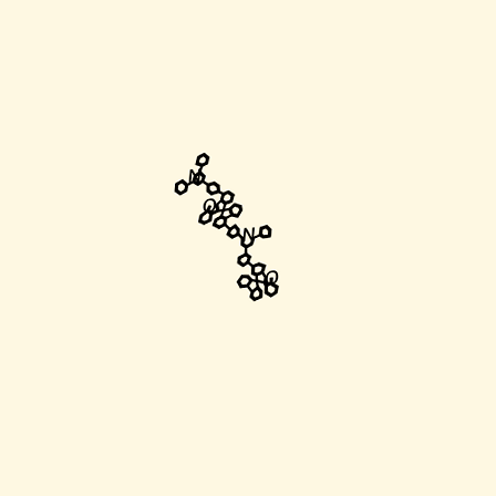 c1ccc(-c2cc(-c3ccc(-c4cccc5c4-c4oc6ccccc6c4C54c5ccccc5-c5c(-c6ccc(-c7cc(-c8cccc(-c9ccc%10c(c9)C9(c%11ccccc%11-c%11ccccc%119)c9c-%10oc%10ccccc9%10)c8)cc(-c8ccccc8)n7)cc6)cccc54)cc3)cc(-c3ccccc3)n2)cc1